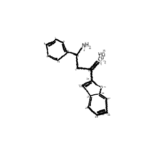 C=C(CC(N)c1ccccc1)c1cc2ccccc2o1.Cl